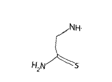 [NH]CC(N)=S